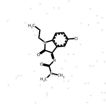 CCCN1C(=O)C(=NC(=O)N(C)C)c2cc(Cl)ccc21